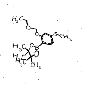 CCOCOc1cc(SC)ccc1B1OC(C)(C)C(C)(C)O1